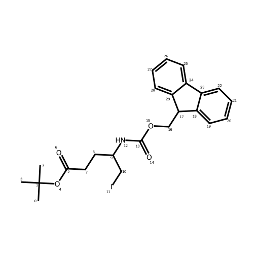 CC(C)(C)OC(=O)CCC(CI)NC(=O)OCC1c2ccccc2-c2ccccc21